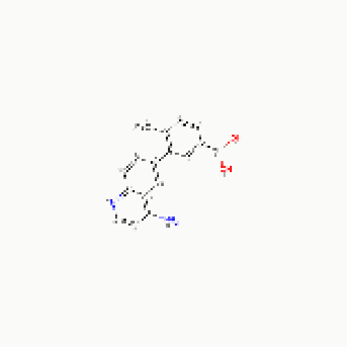 COc1ccc(B(O)O)cc1-c1ccc2nccc(N)c2c1